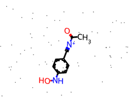 CC(=O)[N+]#Cc1ccc(NO)cc1